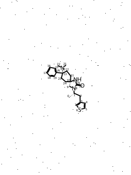 C[C@@H](Cc1ccsc1)N1C[C@]2(CC[C@@](c3ccccc3)(N(C)C)CC2)NC1=O